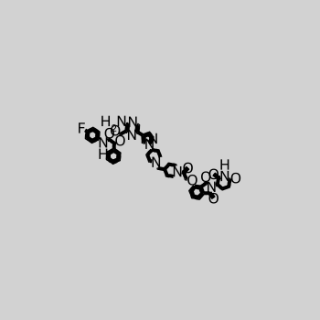 Nc1ncc(-c2cnn(C3CCN(CC4CCN(C(=O)COc5cccc6c5C(=O)N(C5CCC(=O)NC5=O)C6=O)CC4)CC3)c2)nc1C(=O)O[C@@H](C(=O)Nc1ccc(F)cc1)c1ccccc1